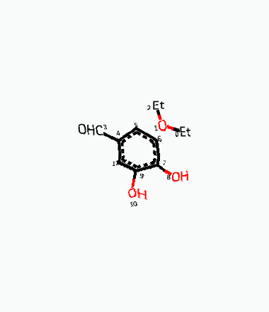 CCOCC.O=Cc1ccc(O)c(O)c1